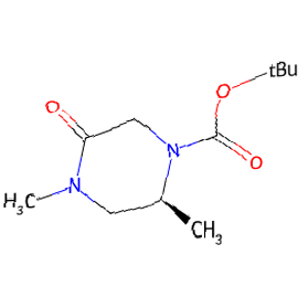 C[C@H]1CN(C)C(=O)CN1C(=O)OC(C)(C)C